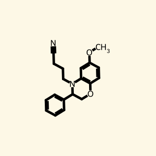 COc1ccc2c(c1)N(CCCC#N)C(c1ccccc1)CO2